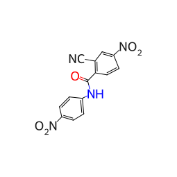 N#Cc1cc([N+](=O)[O-])ccc1C(=O)Nc1ccc([N+](=O)[O-])cc1